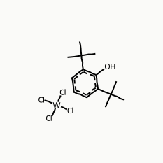 CC(C)(C)c1cccc(C(C)(C)C)c1O.[Cl][W]([Cl])([Cl])[Cl]